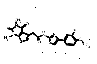 Cn1c(=O)c2c(CC(=O)Nc3nc(-c4ccc(OC(F)(F)F)c(F)c4)cs3)csc2n(C)c1=O